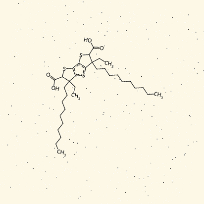 CCCCCCCCCCC1(CC)c2sc3c(c2SC1C(=O)O)SC(C(=O)O)C3(CC)CCCCCCCCCC